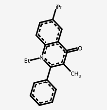 CCn1c(-c2ccccc2)c(C)c(=O)c2cc(C(C)C)ccc21